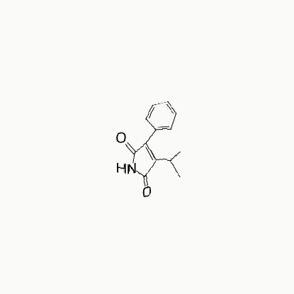 CC(C)C1=C(c2ccccc2)C(=O)NC1=O